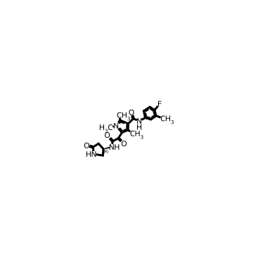 Cc1cc(NC(=O)c2c(C)c(C(=O)C(=O)N[C@H]3CNC(=O)C3)n(C)c2C)ccc1F